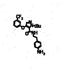 CC(C)(C)n1ncc(Oc2cccc(C(F)(F)F)c2)c1C(=O)NCCc1ccc(N)cc1